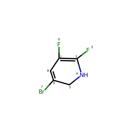 FC1=C(F)NCC(Br)=C1